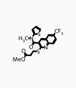 COC(=O)CCSc1nc2ccc(C(F)(F)F)cc2cc1C(=O)N(C)c1cccs1